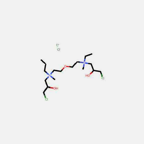 CCC[N+](C)(CCOCC[N+](C)(CC)CC(O)CCl)CC(O)CCl.[Cl-].[Cl-]